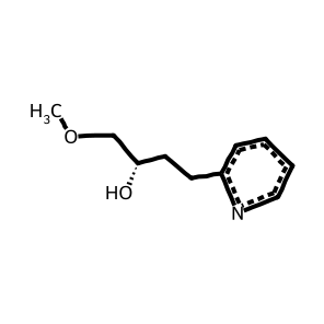 COC[C@@H](O)CCc1ccccn1